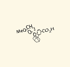 COC(C)OCOc1ccc(C(=O)O)cc1C12CC3CC(CC(C3)C1)C2